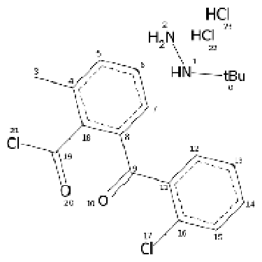 CC(C)(C)NN.Cc1cccc(C(=O)c2ccccc2Cl)c1C(=O)Cl.Cl.Cl